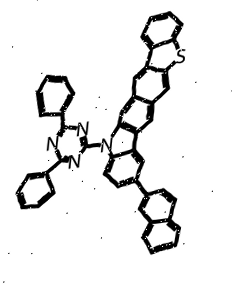 c1ccc(-c2nc(-c3ccccc3)nc(-n3c4ccc(-c5ccc6ccccc6c5)cc4c4cc5cc6sc7ccccc7c6cc5cc43)n2)cc1